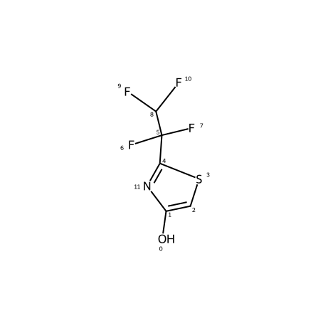 Oc1csc(C(F)(F)C(F)F)n1